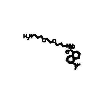 CN(C)c1cccc2c(S(=O)(=O)NCCCOCCOCCCN)cccc12